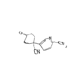 N#CC1(c2ccc(C(F)(F)F)nc2)CCC(=O)CC1